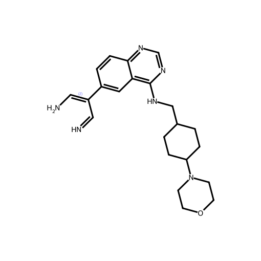 N=C/C(=C\N)c1ccc2ncnc(NCC3CCC(N4CCOCC4)CC3)c2c1